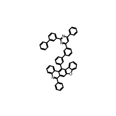 c1ccc(-c2cccc(-c3nc(-c4ccccc4)cc(-c4cccc(-c5cccc(-c6c7c(cc8c(-c9ccccc9)nc9ccccc9c68)oc6ccccc67)c5)c4)n3)c2)cc1